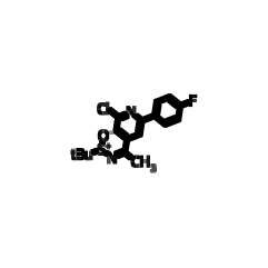 C/C(=N/[S+]([O-])C(C)(C)C)c1cc(Cl)nc(-c2ccc(F)cc2)c1